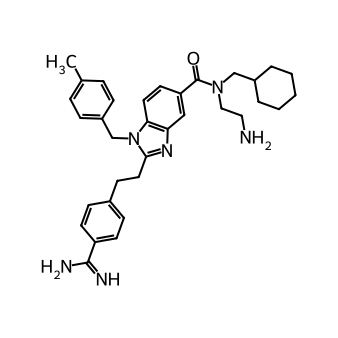 Cc1ccc(Cn2c(CCc3ccc(C(=N)N)cc3)nc3cc(C(=O)N(CCN)CC4CCCCC4)ccc32)cc1